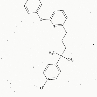 CC(C)(CCCc1cccc(Oc2ccccc2)n1)c1ccc(Cl)cc1